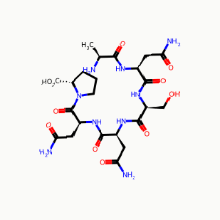 C[C@H](N)C(=O)N[C@@H](CC(N)=O)C(=O)N[C@@H](CO)C(=O)N[C@@H](CC(N)=O)C(=O)N[C@@H](CC(N)=O)C(=O)N1CCC[C@H]1C(=O)O